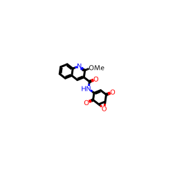 COc1nc2ccccc2cc1C(=O)NC1=CC(=O)C2OC2C1=O